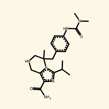 CC(C)c1nc(C(N)=O)c2n1C(C)(Cc1ccc(NC(=O)N(C)C)cc1)CNC2